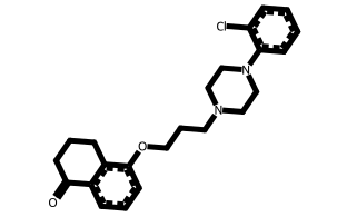 O=C1CCCc2c(OCCCN3CCN(c4ccccc4Cl)CC3)cccc21